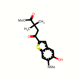 CNc1cc2sc(C(=O)CC(C)(C)C(=O)OC)cc2cc1O